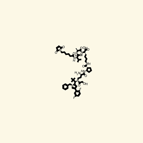 CC(C)[C@H](NC(=O)CCCCCN1C(=O)C=CC1=O)C(=O)N[C@@H](C)C(=O)N[C@@H](CCCCNC(=O)[C@@H]1CCC[C@@H]1NC(=O)[C@@H](N)CCN(C(=O)CO)[C@@H](c1cc(-c2cc(F)ccc2F)cn1Cc1ccccc1)C(C)(C)C)C(=O)O